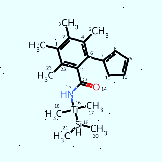 Cc1c(C)c(C)c(C2=CC=CC2)c(C(=O)[NH][Ti]([CH3])([CH3])[SiH](C)C)c1C